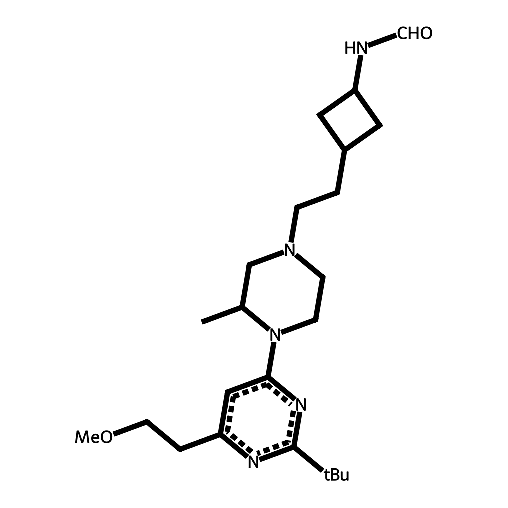 COCCc1cc(N2CCN(CCC3CC(NC=O)C3)CC2C)nc(C(C)(C)C)n1